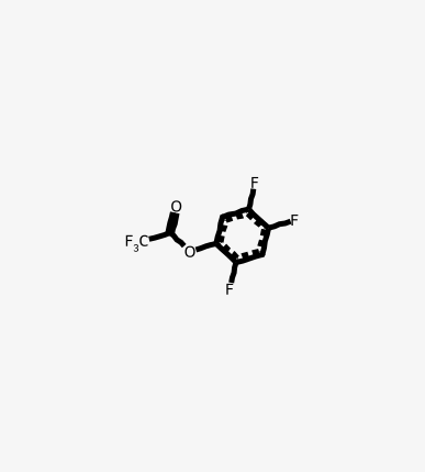 O=C(Oc1cc(F)c(F)cc1F)C(F)(F)F